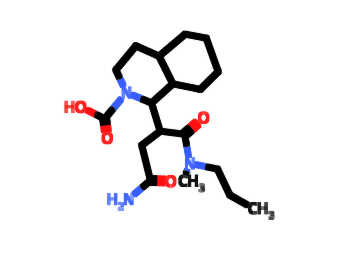 CCCN(C)C(=O)C(CC(N)=O)C1C2CCCCC2CCN1C(=O)O